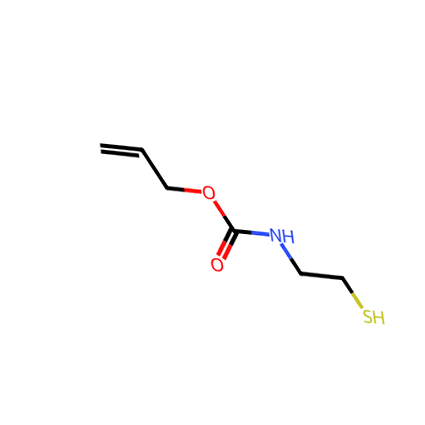 C=CCOC(=O)NCCS